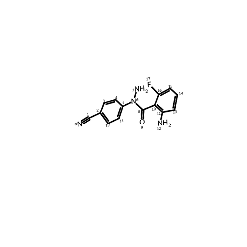 N#Cc1ccc(N(N)C(=O)c2c(N)cccc2F)cc1